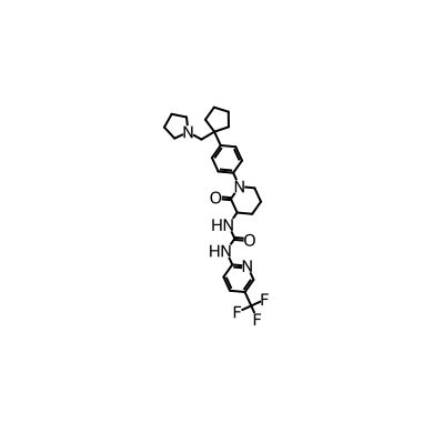 O=C(Nc1ccc(C(F)(F)F)cn1)NC1CCCN(c2ccc(C3(CN4CCCC4)CCCC3)cc2)C1=O